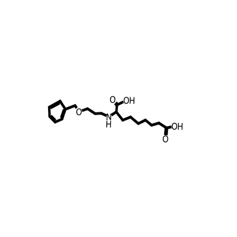 O=C(O)CCCCCCC(NCCCOCc1ccccc1)C(=O)O